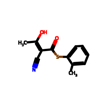 C/C(O)=C(\C#N)C(=O)Sc1ccccc1C